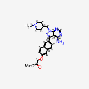 COC(=O)COc1ccc2cc(-c3nn(CC4CCN(C)CC4)c4ncnc(N)c34)ccc2c1